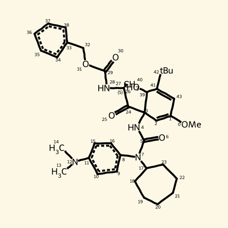 COC1=CC(NC(=O)N(c2ccc(N(C)C)cc2)C2CCCCCC2)(C(=O)[C@H](C)NC(=O)OCc2ccccc2)C(O)C(C(C)(C)C)=C1